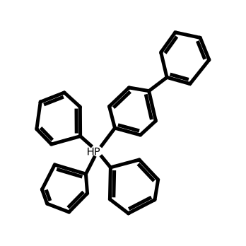 c1ccc(-c2ccc([PH](c3ccccc3)(c3ccccc3)c3ccccc3)cc2)cc1